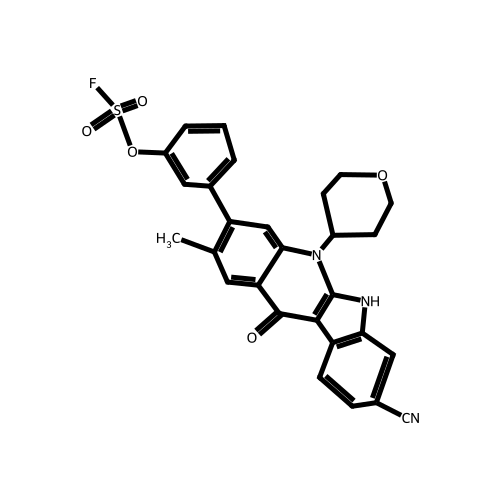 Cc1cc2c(=O)c3c4ccc(C#N)cc4[nH]c3n(C3CCOCC3)c2cc1-c1cccc(OS(=O)(=O)F)c1